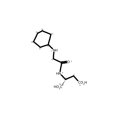 O=C(O)C[C@@H](NC(=O)CNC1CCCCC1)C(=O)O